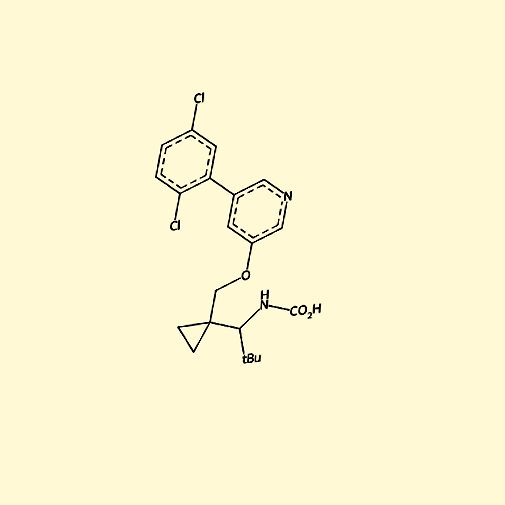 CC(C)(C)C(NC(=O)O)C1(COc2cncc(-c3cc(Cl)ccc3Cl)c2)CC1